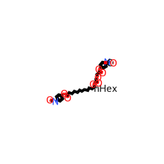 CCCCCC[C@H](CCCCCCCCCCC(=O)Oc1ccc(N=C=O)cc1)OC(=O)COCC(=O)Oc1ccc(N=C=O)cc1